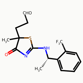 C[C@H](NC1=NC(=O)C(C)(CCC=O)S1)c1ccccc1C(F)(F)F